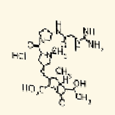 C[C@@H](O)[C@H]1C(=O)N2C(C(=O)O)=C(S[C@H]3C[C@@H](C(=O)N4CC[C@H](NC(=O)CNC(=N)N)C4)N(C)C3)[C@H](C)[C@H]12.Cl